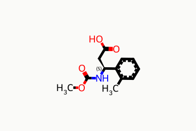 COC(=O)N[C@@H](CC(=O)O)c1ccccc1C